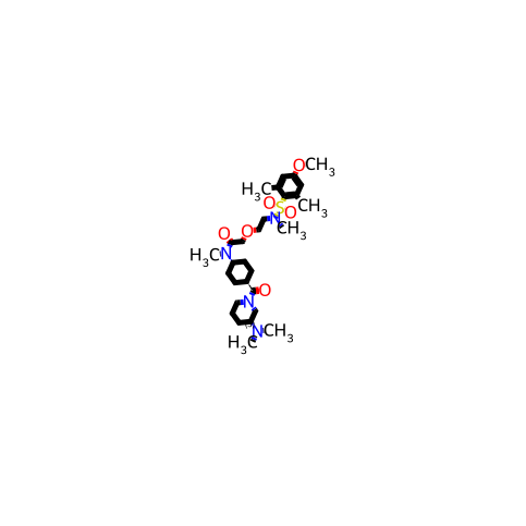 COc1cc(C)c(S(=O)(=O)N(C)CCOCC(=O)N(C)[C@H]2CC[C@@H](C(=O)N3CCC[C@H](N(C)C)C3)CC2)c(C)c1